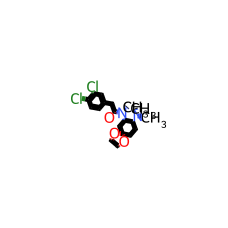 CN(C)C1CCC2(CC1N(C)C(=O)Cc1ccc(Cl)c(Cl)c1)OCCO2